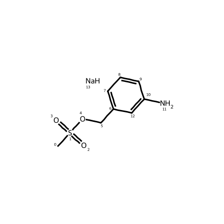 CS(=O)(=O)OCc1cccc(N)c1.[NaH]